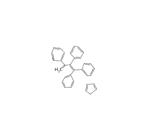 C1=CCC=C1.C=C(C(=C(c1ccccc1)c1ccccc1)c1ccccc1)c1ccccc1